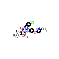 Cc1ccc(Oc2ccc(/N=c3\[nH]c(=O)n([C@@H](C)[C@@H](C)C(=O)O)c(=O)n3Cc3ccc(Cl)cc3)cc2)nn1